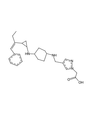 CCC(=Cc1ccccc1)C1CC1NC1CCC(NCc2cnn(CC(=O)O)c2)CC1